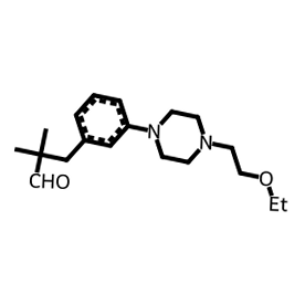 CCOCCN1CCN(c2cccc(CC(C)(C)C=O)c2)CC1